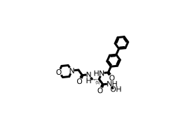 O=C(CN1CCOCC1)NC[C@H](NC(=O)c1ccc(-c2ccccc2)cc1)C(=O)NO